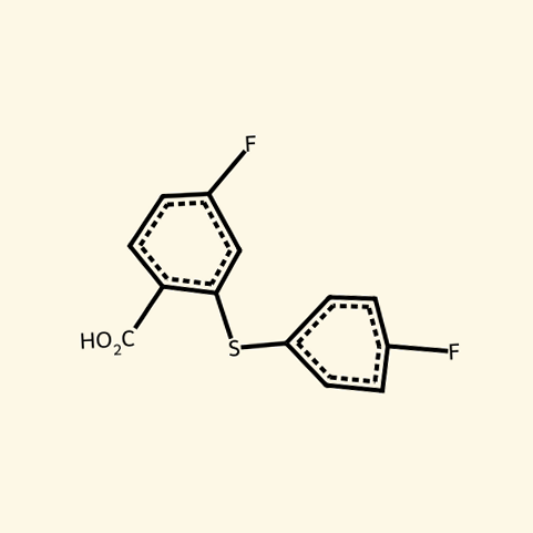 O=C(O)c1ccc(F)cc1Sc1ccc(F)cc1